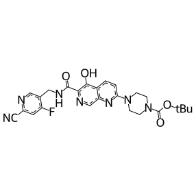 CC(C)(C)OC(=O)N1CCN(c2ccc3c(O)c(C(=O)NCc4cnc(C#N)cc4F)ncc3n2)CC1